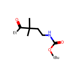 CCC(=O)C(C)(C)CCNC(=O)OC(C)(C)C